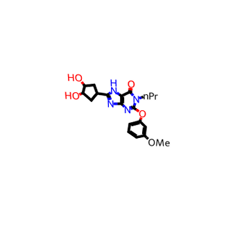 CCCn1c(Oc2cccc(OC)c2)nc2nc(C3CC(O)C(O)C3)[nH]c2c1=O